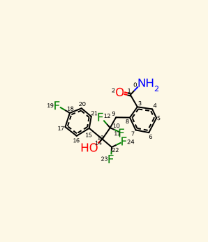 NC(=O)c1ccccc1CC(F)(F)C(O)(c1ccc(F)cc1)C(F)F